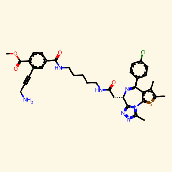 COC(=O)c1ccc(C(=O)NCCCCCNC(=O)C[C@@H]2N=C(c3ccc(Cl)cc3)c3c(sc(C)c3C)-n3c(C)nnc32)cc1C#CCN